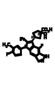 Cc1cc(-n2c(C(C)C)c([C@@H]3CC[C@@](O)(C(=O)O)C3)c3c(F)c4[nH]ncc4cc32)ccc1F